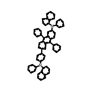 c1ccc(-c2c3ccc(N(c4ccccc4)c4cccc5ccccc45)cc3c(-c3ccccc3)c3ccc(-c4ccc(N(c5ccccc5)c5cccc6ccccc56)cc4)cc23)cc1